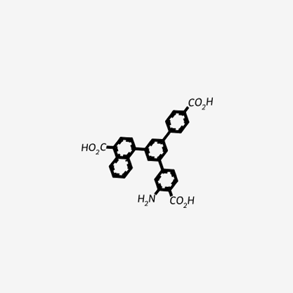 Nc1cc(-c2cc(-c3ccc(C(=O)O)cc3)cc(-c3ccc(C(=O)O)c4ccccc34)c2)ccc1C(=O)O